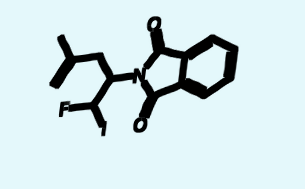 C=C(C)CC(C(F)I)N1C(=O)c2ccccc2C1=O